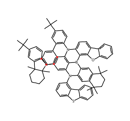 CC(C)(C)c1ccc(N2c3cc(N4c5ccc(C(C)(C)C)cc5C5(C)CCCCC45C)cc4c3B(c3cc5c(cc3N4c3cccc4sc6ccccc6c34)C(C)(C)CCC5(C)C)c3c2ccc2c3oc3ccccc32)c(-c2ccccc2)c1